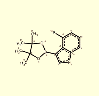 CC1(C)OB(c2cnn3cccc(F)c23)OC1(C)C